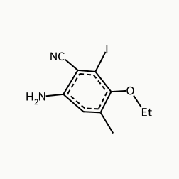 CCOc1c(C)cc(N)c(C#N)c1I